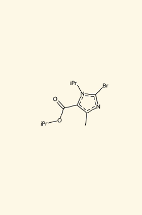 Cc1nc(Br)n(C(C)C)c1C(=O)OC(C)C